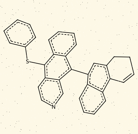 C1=Cc2c(cc(-c3c4ccccc4c(Sc4ccccc4)c4ccncc34)c3ccccc23)CC1